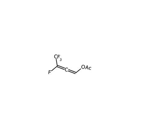 CC(=O)OC=C=C(F)C(F)(F)F